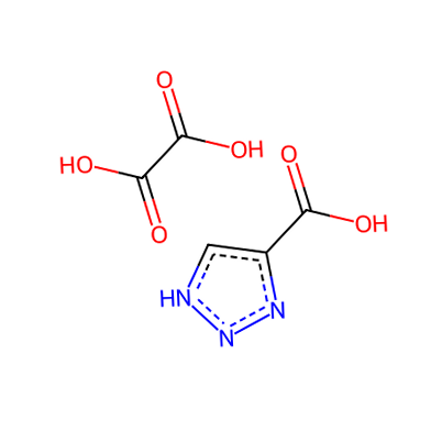 O=C(O)C(=O)O.O=C(O)c1c[nH]nn1